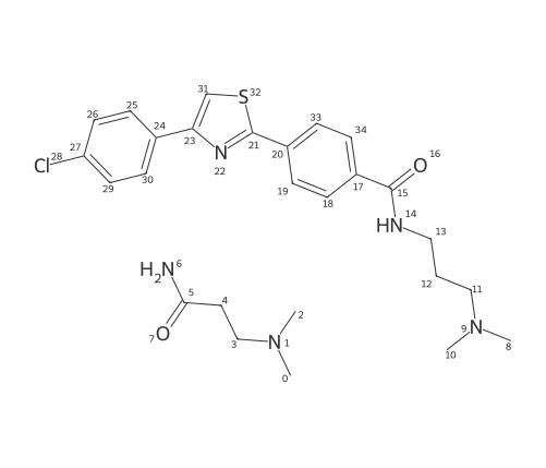 CN(C)CCC(N)=O.CN(C)CCCNC(=O)c1ccc(-c2nc(-c3ccc(Cl)cc3)cs2)cc1